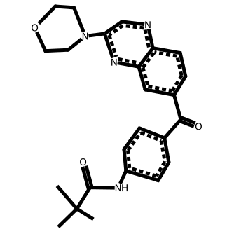 CC(C)(C)C(=O)Nc1ccc(C(=O)c2ccc3ncc(N4CCOCC4)nc3c2)cc1